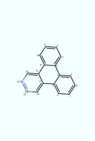 c1ccc2c(c1)c1ccccc1c1cnncc21